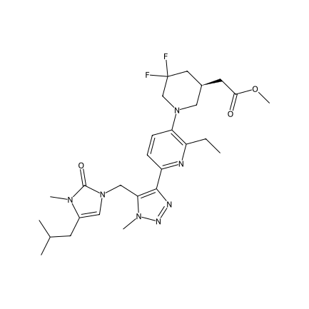 CCc1nc(-c2nnn(C)c2Cn2cc(CC(C)C)n(C)c2=O)ccc1N1C[C@H](CC(=O)OC)CC(F)(F)C1